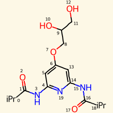 CC(C)C(=O)Nc1cc(OCC(O)CO)cc(NC(=O)C(C)C)n1